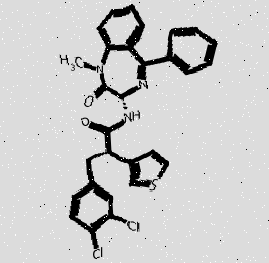 CN1C(=O)[C@@H](NC(=O)[C@H](Cc2ccc(Cl)c(Cl)c2)c2ccsc2)N=C(c2ccccc2)c2ccccc21